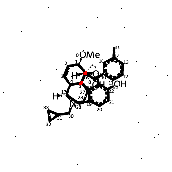 CO[C@]12C=C[C@@]3(C[C@]1(C)C(O)c1cccc(C)c1)[C@H]1Cc4ccc(O)c5c4[C@@]3(CCN1CC1CC1)[C@H]2O5